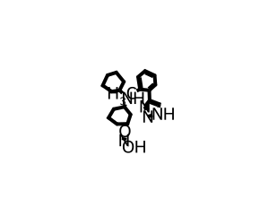 C1CCC(NC2CCCCC2)CC1.Cc1ccccc1-c1c[nH]nn1.O=NO